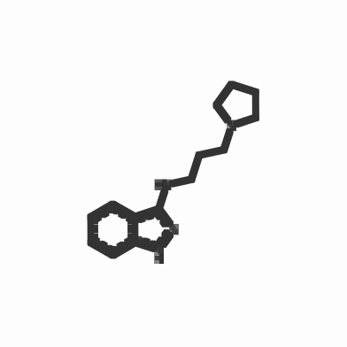 c1ccc2c(NCCCN3CCCC3)n[nH]c2c1